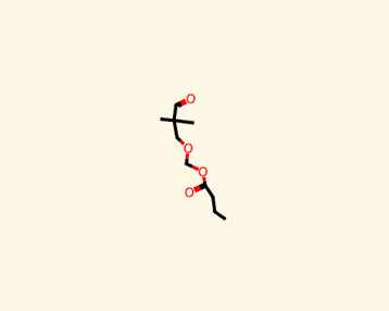 CCCC(=O)OCOCC(C)(C)C=O